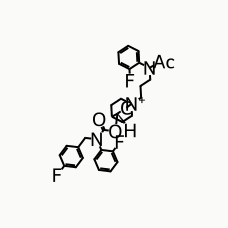 CC(=O)N(CCC[N+]12CCC(CC1)[C@@H](OC(=O)N(Cc1ccc(F)cc1)c1ccccc1F)C2)c1ccccc1F